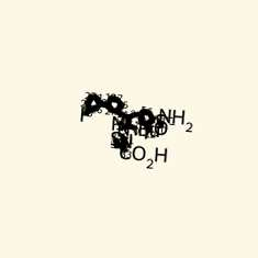 CCC(C)c1c(Cc2ccc([S+](N)[O-])c(F)c2)c(-c2cccc(-c3cccc(F)c3)c2)nn1-c1nc(C(=O)O)cs1